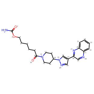 NC(=O)OCCCCCC(=O)N1CCC(n2cc(-c3cnc4ccccc4n3)cn2)CC1